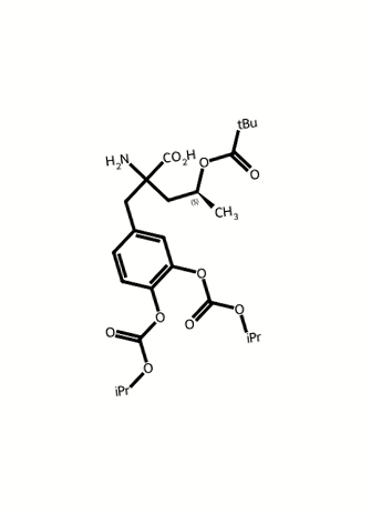 CC(C)OC(=O)Oc1ccc(CC(N)(C[C@H](C)OC(=O)C(C)(C)C)C(=O)O)cc1OC(=O)OC(C)C